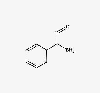 BC([C]=O)c1ccccc1